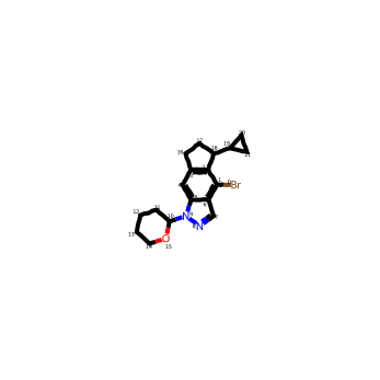 Brc1c2c(cc3c1cnn3C1CCCCO1)CCC2C1CC1